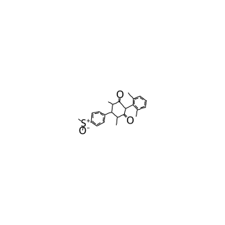 Cc1cccc(C)c1C1C(=O)C(C)C(c2ccc([S+](C)[O-])cc2)C(C)C1=O